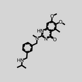 COc1cc2[nH]c(N(C)Cc3cccc(CNC(C)C)c3)nc(=O)c2c(C)c1OC